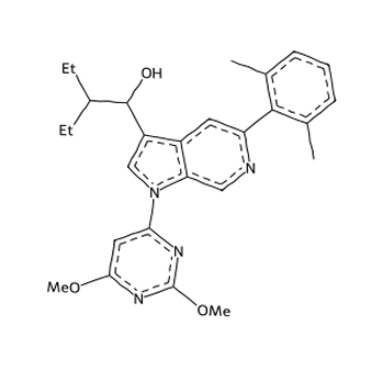 CCC(CC)C(O)c1cn(-c2cc(OC)nc(OC)n2)c2cnc(-c3c(C)cccc3C)cc12